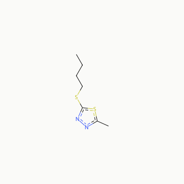 CCCCSc1nnc(C)s1